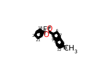 CCC1(OC(=O)C2CC3CC2C2C4CC(C)C(C4)C32)CC2CCC1C2